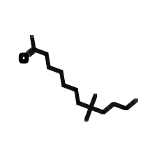 CCCCC(C)(C)CCCCCCC(C)=O